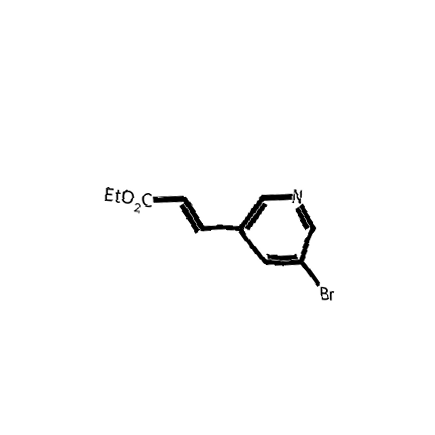 CCOC(=O)C=Cc1cncc(Br)c1